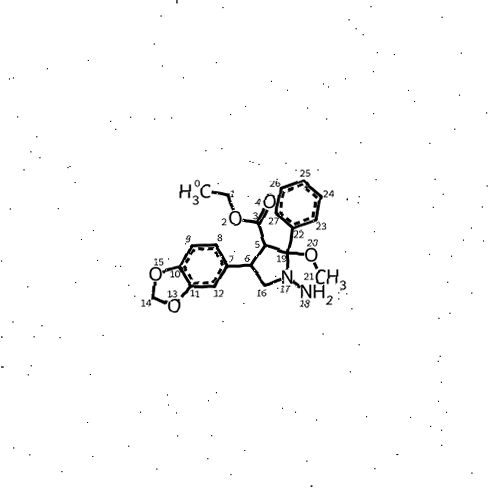 CCOC(=O)C1C(c2ccc3c(c2)OCO3)CN(N)C1(OC)c1ccccc1